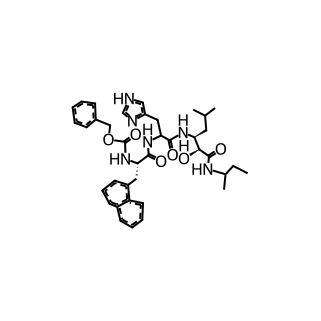 CCC(C)NC(=O)[C@@H](O)[C@H](CC(C)C)NC(=O)C(Cc1c[nH]cn1)NC(=O)[C@H](Cc1cccc2ccccc12)NC(=O)OCc1ccccc1